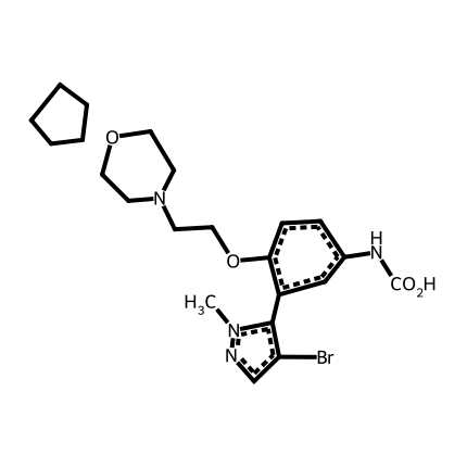 C1CCCC1.Cn1ncc(Br)c1-c1cc(NC(=O)O)ccc1OCCN1CCOCC1